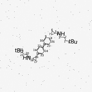 CC(C)(C)CCCNC1C[C@H]1c1ccc(-c2ccc(C3C[C@@H]3NCCC(C)(C)C)cc2)cc1